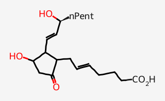 CCCCC[C@H](O)C=CC1C(O)CC(=O)C1CC=CCCCC(=O)O